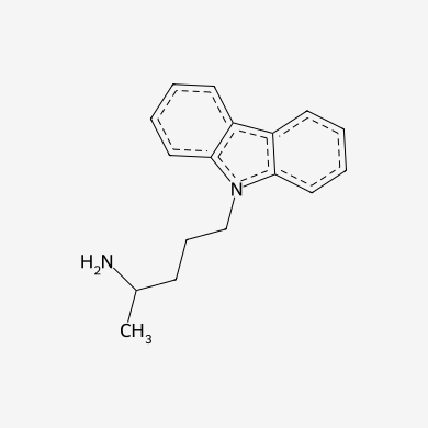 CC(N)CCCn1c2ccccc2c2ccccc21